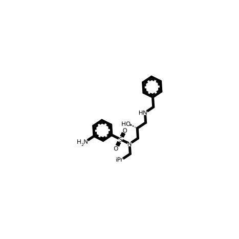 CC(C)CN(C[C@H](O)CNCc1ccccc1)S(=O)(=O)c1cccc(N)c1